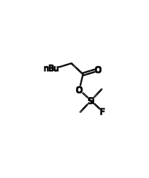 CCCCCC(=O)O[Si](C)(C)F